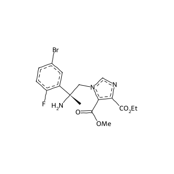 CCOC(=O)c1ncn(C[C@](C)(N)c2cc(Br)ccc2F)c1C(=O)OC